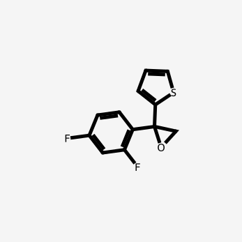 Fc1ccc(C2(c3cccs3)CO2)c(F)c1